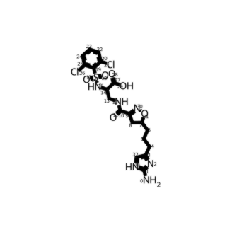 Nc1nc(CCCC2CC(C(=O)NCC(NS(=O)(=O)c3c(Cl)cccc3Cl)C(=O)O)=NO2)c[nH]1